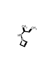 C=CC(=C)NN1C=CC1